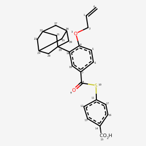 C=CCOc1ccc(C(=O)Sc2ccc(C(=O)O)cc2)cc1C12CC3CC(CC(C3)C1)C2